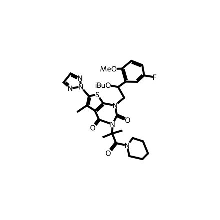 COc1ccc(F)cc1C(Cn1c(=O)n(C(C)(C)C(=O)N2CCCCC2)c(=O)c2c(C)c(-n3nccn3)sc21)OCC(C)C